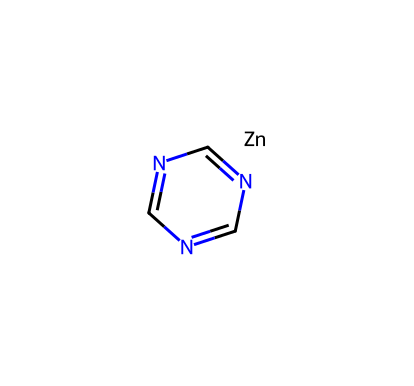 [Zn].c1ncncn1